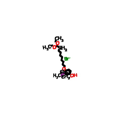 CCOC(OCC)[SiH2]CCCCCCCCOc1ccc(O)cc1[P+](C)(C)C.[Br-]